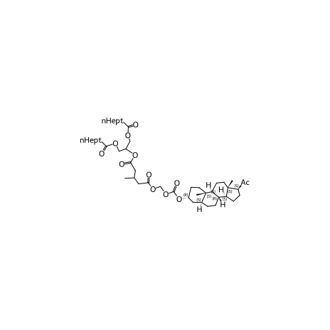 CCCCCCCC(=O)OCC(COC(=O)CCCCCCC)OC(=O)CC(C)CC(=O)OCOC(=O)O[C@@H]1CC[C@@]2(C)[C@@H](CC[C@@H]3[C@@H]2CC[C@]2(C)[C@@H](C(C)=O)CC[C@@H]32)C1